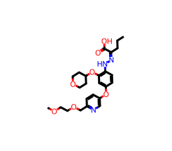 CCCC(=NNc1ccc(Oc2ccc(COCCOC)nc2)cc1OC1CCOCC1)C(=O)O